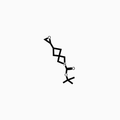 CC(C)(C)OC(=O)N1CC2(CC(C3CO3)C2)C1